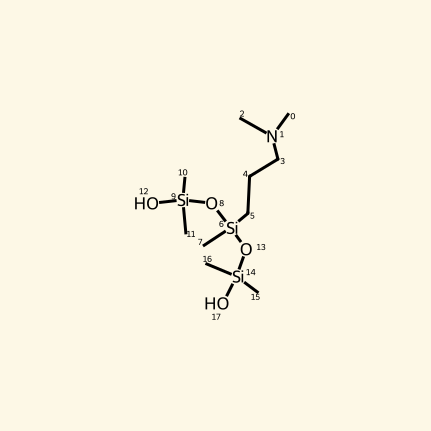 CN(C)CCC[Si](C)(O[Si](C)(C)O)O[Si](C)(C)O